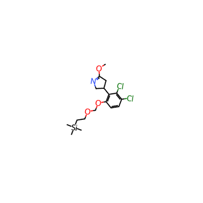 COC1=NCC(c2c(OCOCC[Si](C)(C)C)ccc(Cl)c2Cl)C1